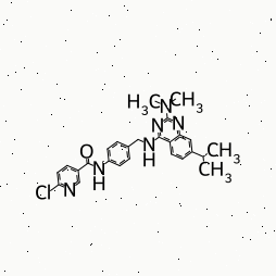 CC(C)c1ccc2c(NCc3ccc(NC(=O)c4ccc(Cl)nc4)cc3)nc(N(C)C)nc2c1